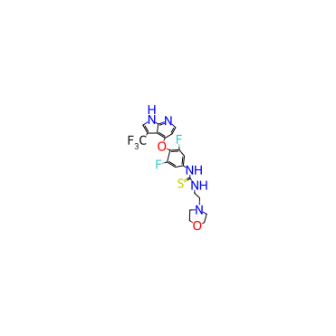 Fc1cc(NC(=S)NCCN2CCOCC2)cc(F)c1Oc1ccnc2[nH]cc(C(F)(F)F)c12